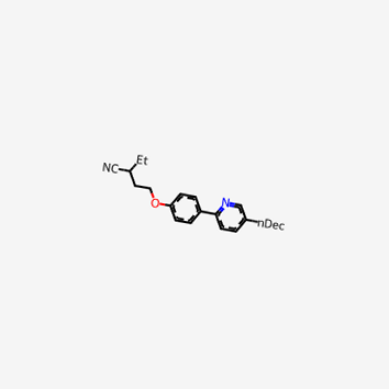 CCCCCCCCCCc1ccc(-c2ccc(OCCC(C#N)CC)cc2)nc1